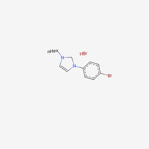 Br.CCCCCCN1C=CN(c2ccc(Br)cc2)C1